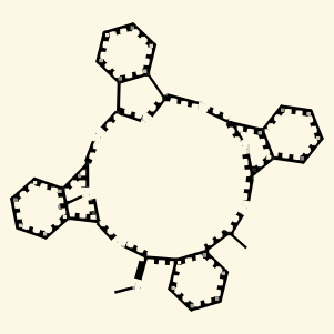 C/N=c1\nc2c3ccccc3c(nc3nc(nc4[nH]c(nc(C)c5ccccc15)c1ccccc41)-c1ccccc1-3)n2C